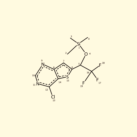 C[Si](C)(C)OC(c1cc2ncnc(Cl)c2s1)C(F)(F)F